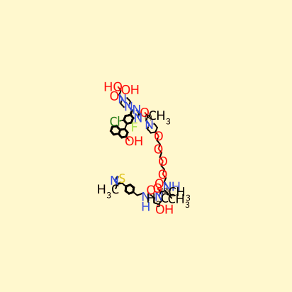 Cc1ncsc1-c1ccc(CCNC(=O)C2CC(O)CN2C(=O)[C@@H](NC(=O)COCCOCCOCCOC2CCN(C[C@@H](C)Oc3nc(N4CCN(C(=O)C(O)O)CC4)c4cc(Cl)c(-c5cc(O)cc6ccccc56)c(F)c4n3)CC2)C(C)(C)C)cc1